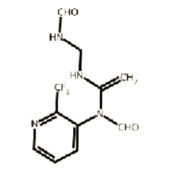 C=C(NCNC=O)N(C=O)c1cccnc1C(F)(F)F